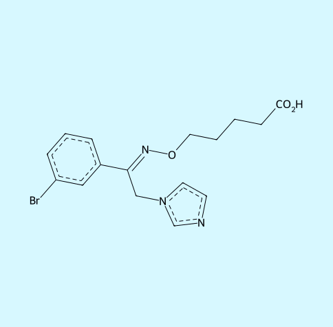 O=C(O)CCCCON=C(Cn1ccnc1)c1cccc(Br)c1